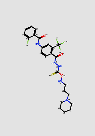 O=C(Nc1ccc(C(=O)NNC(=S)ONCCCN2CCCCC2)c(C(F)(F)F)c1)c1ccccc1F